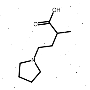 CC(CCN1CCCC1)C(=O)O